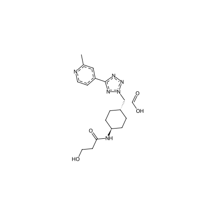 Cc1cc(-c2nnn(C[C@H]3CC[C@H](NC(=O)CCO)CC3)n2)ccn1.O=CO